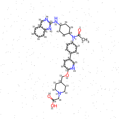 CC(=O)N(c1ccc(-c2ccc(OCC3CCN(CC(=O)O)CC3)nc2)cc1)C1CCC(Nc2ncc3ccccc3n2)CC1